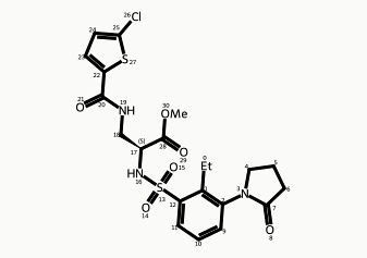 CCc1c(N2CCCC2=O)cccc1S(=O)(=O)N[C@@H](CNC(=O)c1ccc(Cl)s1)C(=O)OC